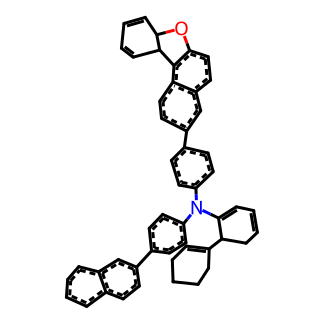 C1=CCC(C2=CCCCC2)C(N(c2ccc(-c3ccc4ccccc4c3)cc2)c2ccc(-c3ccc4c5c(ccc4c3)OC3C=CC=CC53)cc2)=C1